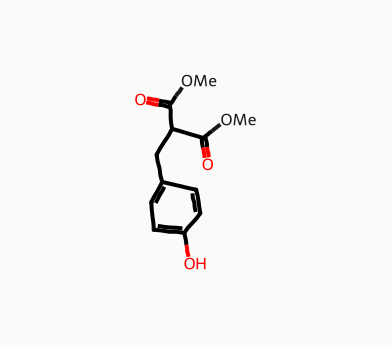 COC(=O)C(Cc1ccc(O)cc1)C(=O)OC